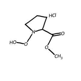 COC(=O)C1CCCN1OO.Cl